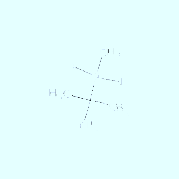 CC(C)(C)[Si](C)(I)I